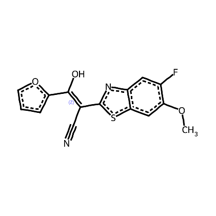 COc1cc2sc(/C(C#N)=C(\O)c3ccco3)nc2cc1F